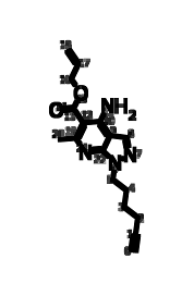 C#CCCCCn1ncc2c(N)c(C(=O)OCC=C)c(C)nc21